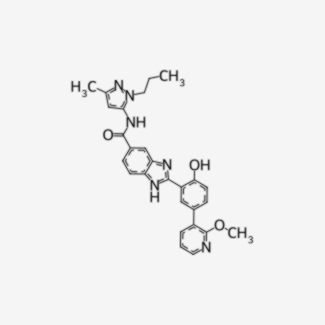 CCCn1nc(C)cc1NC(=O)c1ccc2[nH]c(-c3cc(-c4cccnc4OC)ccc3O)nc2c1